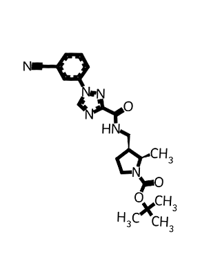 C[C@@H]1[C@H](CNC(=O)c2ncn(-c3cccc(C#N)c3)n2)CCN1C(=O)OC(C)(C)C